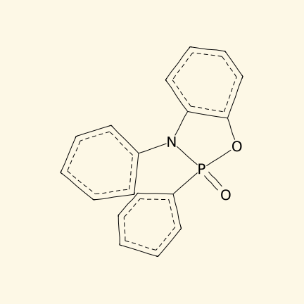 O=P1(c2ccccc2)Oc2ccccc2N1c1ccccc1